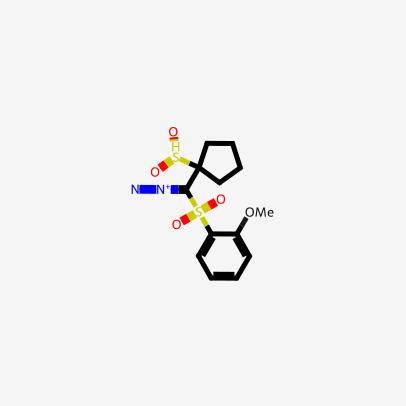 COc1ccccc1S(=O)(=O)C(=[N+]=[N-])C1([SH](=O)=O)CCCC1